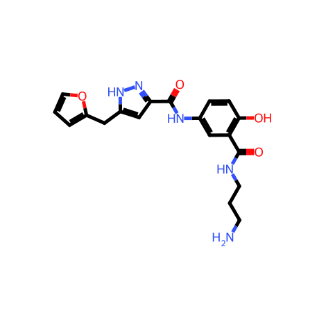 NCCCNC(=O)c1cc(NC(=O)c2cc(Cc3ccco3)[nH]n2)ccc1O